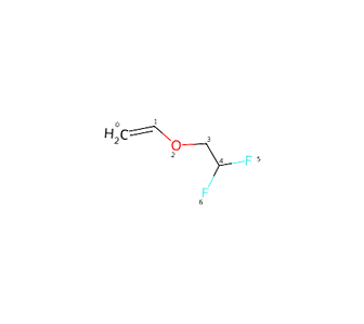 C=COCC(F)F